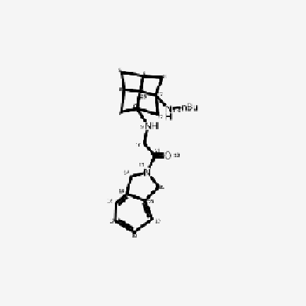 CCCCNC12CC3CC4CC(NCC(=O)N5Cc6ccccc6C5)(C1)C342